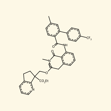 CCOC(=O)C1(COC(=O)Cc2cccc(NC(=O)c3ccc(C)cc3-c3ccc(C(F)(F)F)cc3)c2C(=O)N(C)C)CCc2cccnc21